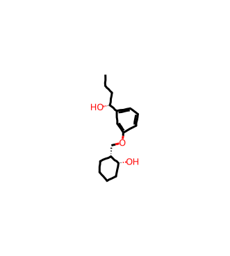 CCC[C@@H](O)c1cccc(OC[C@H]2CCCC[C@H]2O)c1